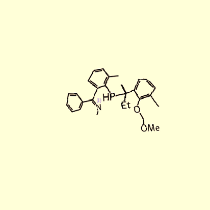 CCC(C)(Pc1c(C)cccc1/C(=N/C)c1ccccc1)c1cccc(C)c1OCOC